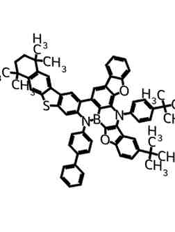 CC(C)(C)c1ccc(N2c3c(oc4ccc(C(C)(C)C)cc34)B3c4c(cc5c(oc6ccccc65)c42)-c2cc4c(cc2N3c2ccc(-c3ccccc3)cc2)sc2cc3c(cc24)C(C)(C)CCC3(C)C)cc1